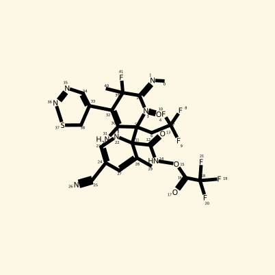 CN=C1[N+](=O)C(CC(F)(F)F)(C2(C(=O)NOC(=O)C(F)(F)F)NC=C(C#N)C=C2C)C(N)=C(C2=CN=NSC2)C1(C)F